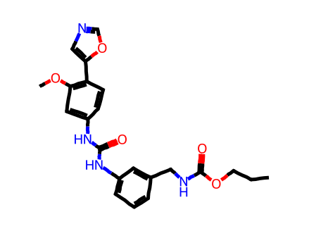 CCCOC(=O)NCc1cccc(NC(=O)Nc2ccc(-c3cnco3)c(OC)c2)c1